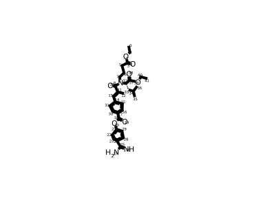 CCOC(=O)CCCN(C(=O)/C(C)=C/c1ccc(C(=O)Oc2ccc(C(=N)N)cc2)cc1)[C@@H](CC(C)C)C(=O)OCC